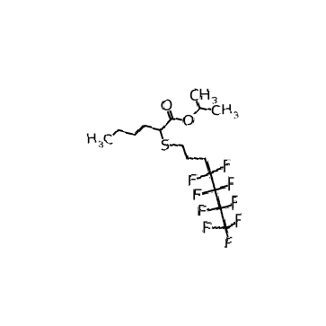 CCCCC(SCCCC(F)(F)C(F)(F)C(F)(F)C(F)(F)F)C(=O)OC(C)C